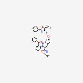 Cc1oc(-c2ccccc2)nc1CCOc1ccc(C[C@H](Nc2ccccc2C(=O)c2ccccc2)c2nc(C(C)C)co2)cc1